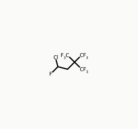 FC(Cl)CC(C(F)(F)F)(C(F)(F)F)C(F)(F)F